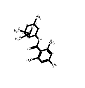 Cc1cc(C)c(C(=O)OC2CC3(C)CCC2C(C)(C)N3)c(C)c1